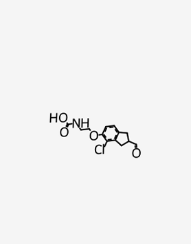 O=CC1Cc2ccc(OCCNC(=O)O)c(Cl)c2C1